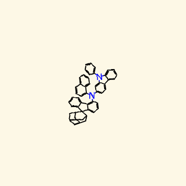 c1ccc(-n2c3ccccc3c3ccc(N(c4cccc5c4-c4ccccc4C54C5CC6CC(C5)CC4C6)c4cccc5ccccc45)cc32)cc1